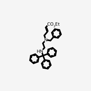 CCOC(=O)/C=C/CN(CCNC(c1ccccc1)(c1ccccc1)c1ccccc1)Cc1ccccc1